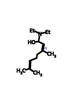 CCN(CC)C(O)/C=C(/C)CCC=C(C)C